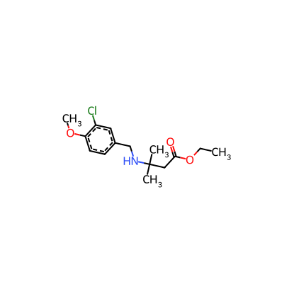 CCOC(=O)CC(C)(C)NCc1ccc(OC)c(Cl)c1